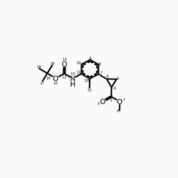 COC(=O)C1CC1c1cccc(NC(=O)OC(C)(C)C)c1C